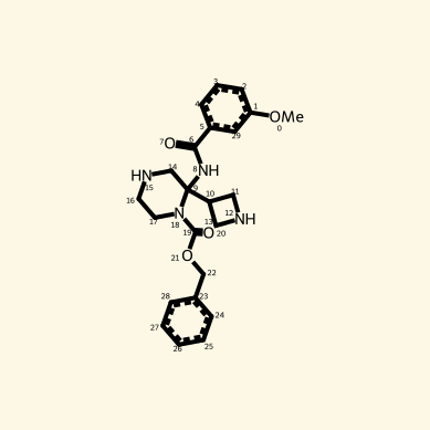 COc1cccc(C(=O)NC2(C3CNC3)CNCCN2C(=O)OCc2ccccc2)c1